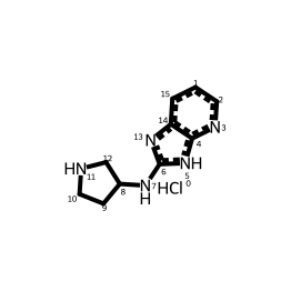 Cl.c1cnc2[nH]c(NC3CCNC3)nc2c1